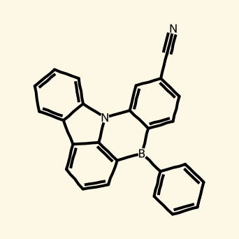 N#Cc1ccc2c(c1)-n1c3ccccc3c3cccc(c31)B2c1ccccc1